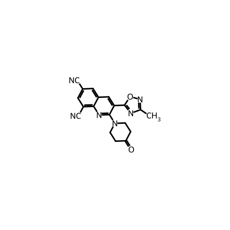 Cc1noc(-c2cc3cc(C#N)cc(C#N)c3nc2N2CCC(=O)CC2)n1